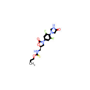 CCCOC(=S)NC[C@@H]1CN(c2cc(F)c(N3CNC(=O)C3)c(F)c2)C(=O)O1